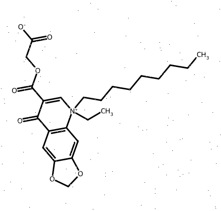 CCCCCCCCC[N+]1(CC)C=C(C(=O)OCC(=O)[O-])C(=O)c2cc3c(cc21)OCO3